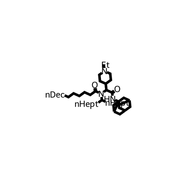 CCCCCCCCCCCCCCCC(=O)N(C(CCCCCCC)CCCCCCC)C(C(=O)NC12CC3CC(CC(C3)C1)C2)C1CCN(CC)CC1